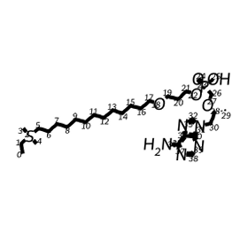 CCS(C)(C)CCCCCCCCCCCCCOCCCOP(=O)(O)CO[C@H](C)Cn1cnc2c(N)ncnc21